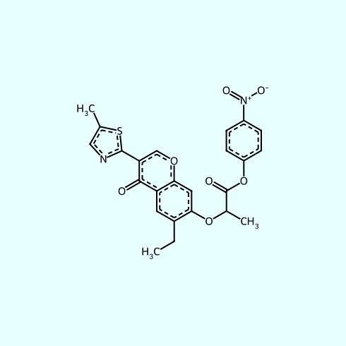 CCc1cc2c(=O)c(-c3ncc(C)s3)coc2cc1OC(C)C(=O)Oc1ccc([N+](=O)[O-])cc1